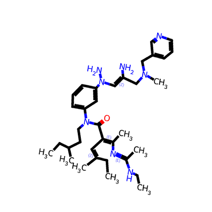 CCN/C(C)=N/C(C)=C(\C=C(\C)CC)C(=O)N(CCC(C)CC)c1cccc(N(N)/C=C(\N)CN(C)Cc2cccnc2)c1